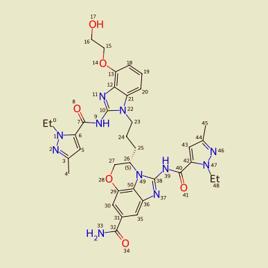 CCn1nc(C)cc1C(=O)Nc1nc2c(OCCO)cccc2n1CCC[C@H]1COc2cc(C(N)=O)cc3nc(NC(=O)c4cc(C)nn4CC)n1c23